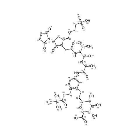 CC(C)[C@H](NC(=O)CN1C(=O)[C@H](N2C(=O)C=CC2=O)C[C@H]1COCCS(=O)(=O)O)C(=O)N[C@@H](C)C(=O)Nc1ccc(COC(=O)C(C)(C)C)c(CC[C@@H]2O[C@H](C(=O)O)[C@@H](O)[C@H](O)[C@H]2O)c1